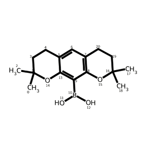 CC1(C)CCc2cc3c(c(B(O)O)c2O1)OC(C)(C)CC3